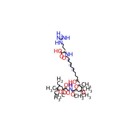 C=C1C[C@](OC)([C@H](O)C(=O)N[C@@H](OC)[C@@H]2C[C@@H](OC)C(C)(C)[C@@H](C[C@H](O)CCC/C=C/C=C/C=C/C(=O)N[C@@H](CCCNC(=N)N)C(=O)O)O2)O[C@H](C)[C@@H]1C